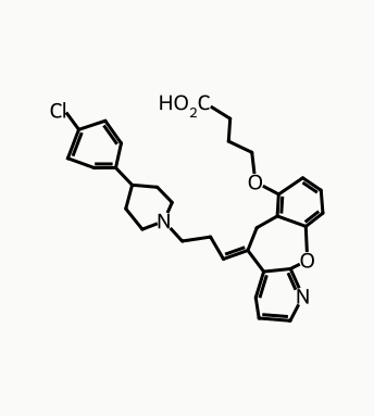 O=C(O)CCCOc1cccc2c1CC(=CCCN1CCC(c3ccc(Cl)cc3)CC1)c1cccnc1O2